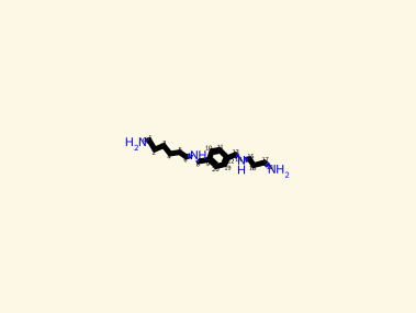 NCCCCCCNCc1ccc(CNCCCN)cc1